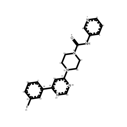 O=C(Nc1cccnc1)N1CCN(c2cc(-c3cccc(F)c3)ncn2)CC1